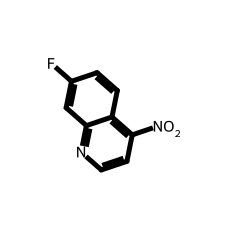 O=[N+]([O-])c1ccnc2cc(F)ccc12